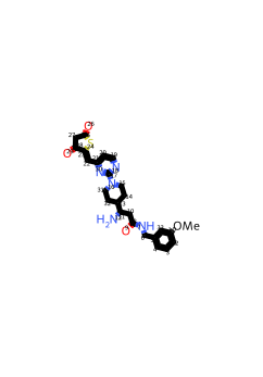 COc1cccc(CNC(=O)CC(N)C2CCN(c3nccc(/C=C4\SC(=O)CC4=O)n3)CC2)c1